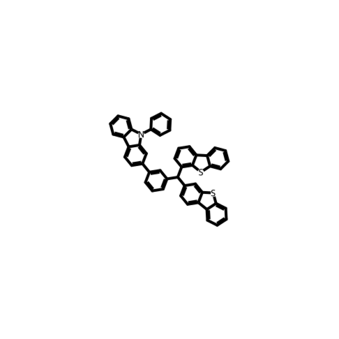 c1ccc(-n2c3ccccc3c3ccc(-c4cccc(C(c5ccc6c(c5)sc5ccccc56)c5cccc6c5sc5ccccc56)c4)cc32)cc1